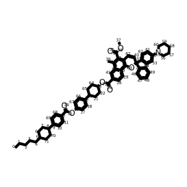 CCCCCC1CCC(c2ccc(C(=O)Oc3ccc(C4CCC(OC(=O)c5ccc6c7c(c(C(=O)OC)c(C)c6c5)C=CC(c5ccccc5)(c5ccc(N6CCCCC6)cc5)O7)CC4)cc3)cc2)CC1